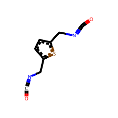 O=C=NCc1ccc(CN=C=O)s1